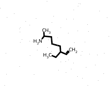 C=CC(CC)CCCC(C)N